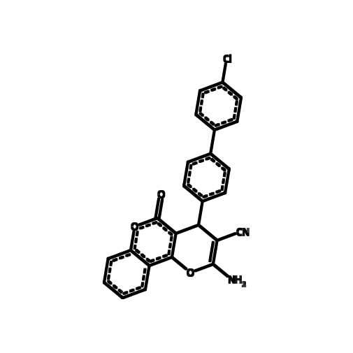 N#CC1=C(N)Oc2c(c(=O)oc3ccccc23)C1c1ccc(-c2ccc(Cl)cc2)cc1